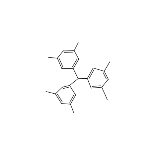 Cc1cc(C)cc(C(c2cc(C)cc(C)c2)c2cc(C)cc(C)c2)c1